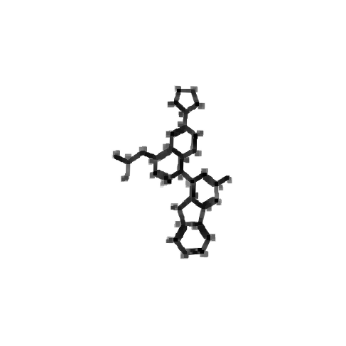 Cc1cc2c(c(-c3ncc(CC(C)C)c4cc(C5CCCC5)ccc34)c1)Cc1ccccc1-2